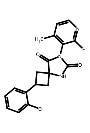 Cc1ccnc(F)c1N1C(=O)NC2(CC(c3ccccc3Cl)C2)C1=O